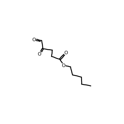 CCCCCOC(=O)CCC(=O)C=O